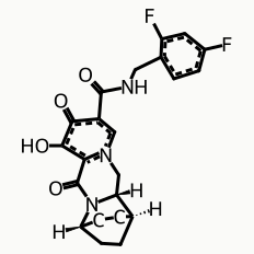 O=C(NCc1ccc(F)cc1F)c1cn2c(c(O)c1=O)C(=O)N1[C@H]3CC[C@@H](CC3)[C@H]1C2